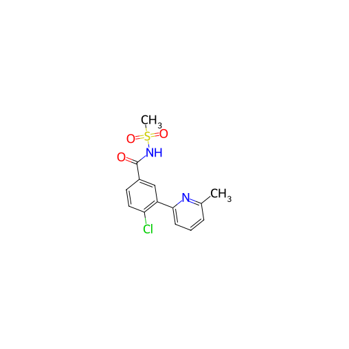 Cc1cccc(-c2cc(C(=O)NS(C)(=O)=O)ccc2Cl)n1